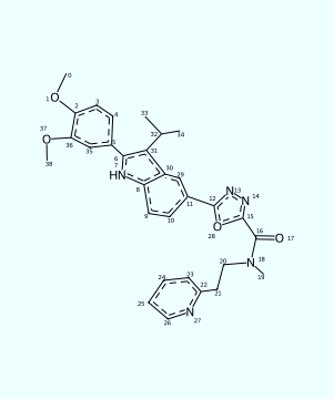 COc1ccc(-c2[nH]c3ccc(-c4nnc(C(=O)N(C)CCc5ccccn5)o4)cc3c2C(C)C)cc1OC